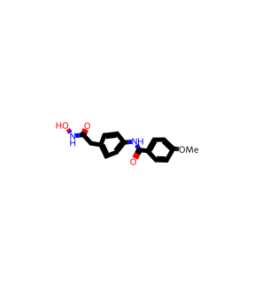 COc1ccc(C(=O)Nc2ccc(CC(=O)NO)cc2)cc1